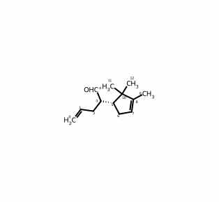 C=CCC(C=O)[C@H]1CC=C(C)C1(C)C